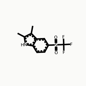 Cc1[nH]c2ccc(S(=O)(=O)C(F)(F)F)cc2c1C